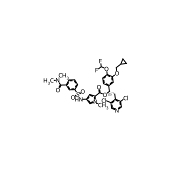 CN(C)C(=O)c1cccc(S(=O)(=O)Nc2cc(C(=O)O[C@@H](Cc3c(Cl)cncc3Cl)c3ccc(OC(F)F)c(OCC4CC4)c3)n(C)c2)c1